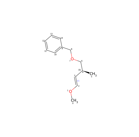 CO/C=C/[C@H](C)COCc1ccccc1